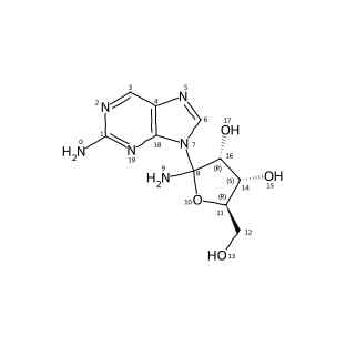 Nc1ncc2ncn(C3(N)O[C@H](CO)[C@@H](O)[C@H]3O)c2n1